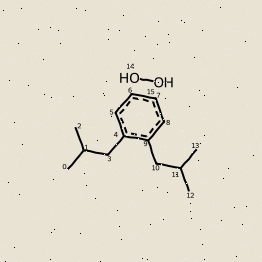 CC(C)Cc1ccccc1CC(C)C.OO